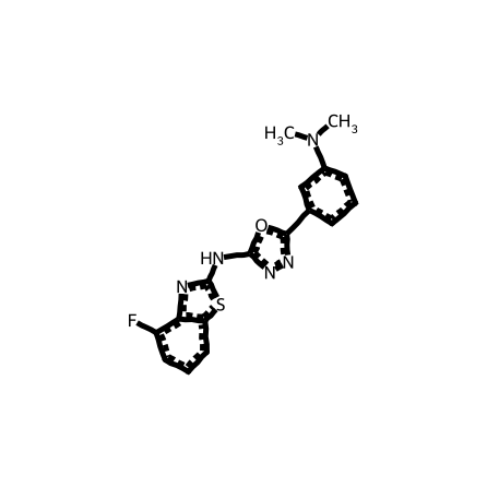 CN(C)c1cccc(-c2nnc(Nc3nc4c(F)cccc4s3)o2)c1